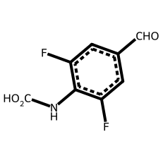 O=Cc1cc(F)c(NC(=O)O)c(F)c1